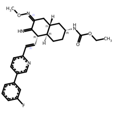 CCOC(=O)N[C@@H]1CC[C@@H]2[C@H](C/C(=N/OC)C(=N)[C@H]2/C=C/c2ccc(-c3cccc(F)c3)cn2)C1